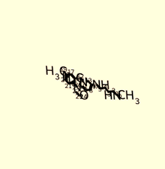 CNCCCCNC1=CC2=C(N(C)C1)N(c1ccc(C)cc1)CCO2